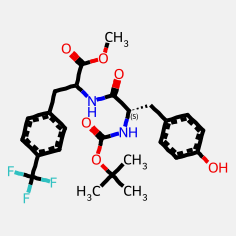 COC(=O)C(Cc1ccc(C(F)(F)F)cc1)NC(=O)[C@H](Cc1ccc(O)cc1)NC(=O)OC(C)(C)C